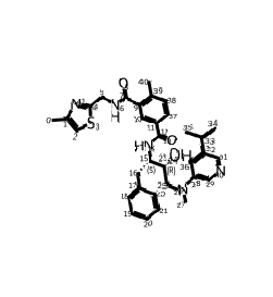 Cc1csc(CNC(=O)c2cc(C(=O)N[C@@H](Cc3ccccc3)[C@H](O)CN(C)c3cncc(C(C)C)c3)ccc2C)n1